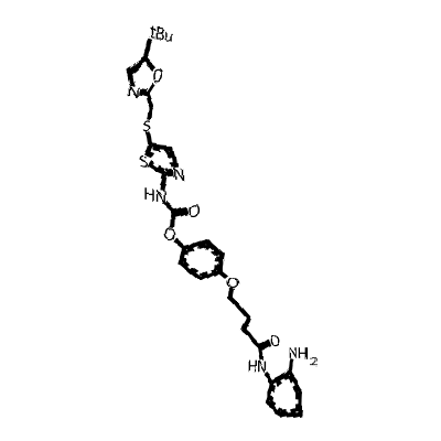 CC(C)(C)C1CN=C(CSc2cnc(NC(=O)Oc3ccc(OCCCC(=O)Nc4ccccc4N)cc3)s2)O1